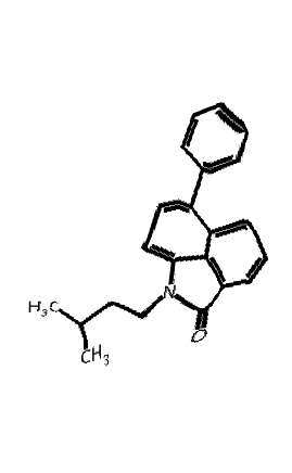 CC(C)CCN1C(=O)c2cccc3c(-c4ccccc4)ccc1c23